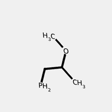 COC(C)CP